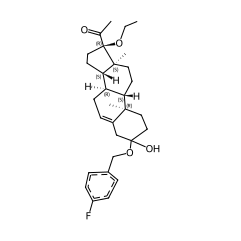 CCO[C@]1(C(C)=O)CC[C@H]2[C@@H]3CC=C4CC(O)(OCc5ccc(F)cc5)CC[C@]4(C)[C@H]3CC[C@@]21C